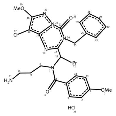 COc1ccc(C(=O)N(CCCN)C(c2nc3c(Cl)c(OC)nn3c(=O)n2Cc2ccccc2)C(C)C)cc1.Cl